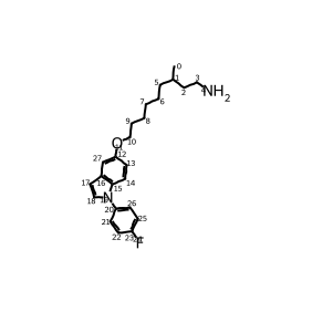 CC(CCN)CCCCCCOc1ccc2c(ccn2-c2ccc(F)cc2)c1